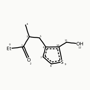 CCC(=O)C(C)Cc1ccsc1CO